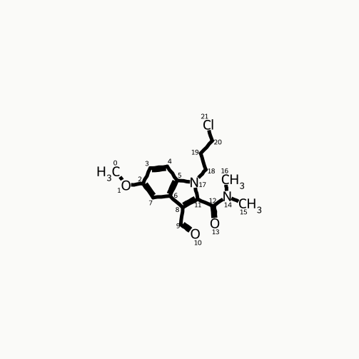 COc1ccc2c(c1)c(C=O)c(C(=O)N(C)C)n2CCCCl